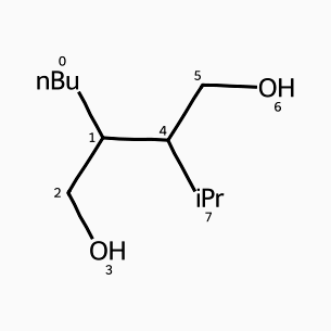 CCCCC(CO)C(CO)C(C)C